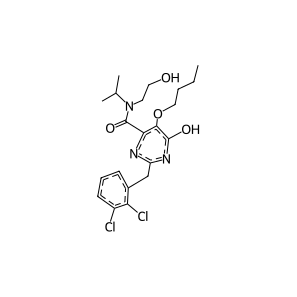 CCCCOc1c(O)nc(Cc2cccc(Cl)c2Cl)nc1C(=O)N(CCO)C(C)C